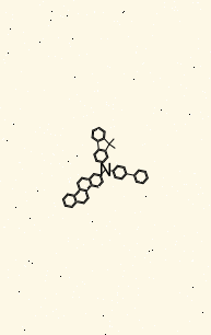 CC1(C)c2ccccc2-c2ccc(N(c3ccc(-c4ccccc4)cc3)c3ccc4c(ccc5c6ccccc6ccc45)c3)cc21